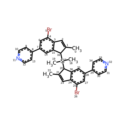 CC1=Cc2c(Br)cc(-c3ccncc3)cc2C1[Si](C)(C)C1C(C)=Cc2c(Br)cc(-c3ccncc3)cc21